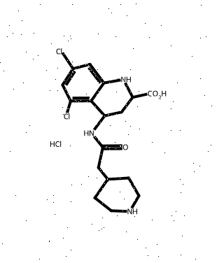 Cl.O=C(CC1CCNCC1)NC1CC(C(=O)O)Nc2cc(Cl)cc(Cl)c21